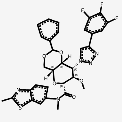 CO[C@@H]1[C@@H](n2cc(-c3cc(F)c(F)c(F)c3)nn2)[C@H]2OC(c3ccccc3)OC[C@H]2O[C@H]1C(=O)N(C)c1ccc2nc(C)sc2c1